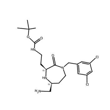 CC(C)(C)OC(=O)NCC[C@@H]1N[C@H](CN)CCN(Cc2cc(Cl)cc(Cl)c2)C1=O